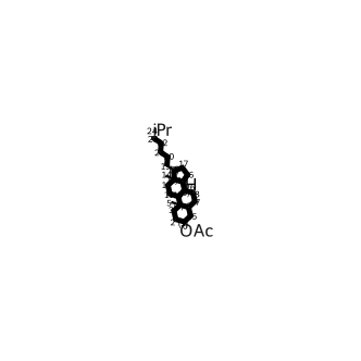 CC(=O)O[C@H]1CC[C@@]2(C)C(CC[C@@H]3C2CC[C@@]2(C)C3CC[C@@H]2CCCCCC(C)C)C1